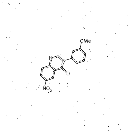 COc1cccc(-n2cnc3ccc([N+](=O)[O-])cc3c2=O)c1